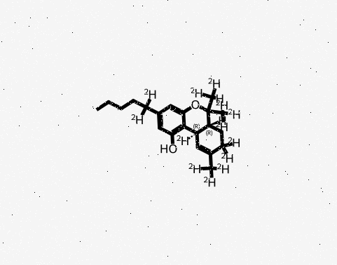 [2H]C([2H])([2H])C1=C[C@@]2([2H])c3c(O)cc(C([2H])([2H])CCCC)cc3OC(C([2H])([2H])[2H])(C([2H])([2H])[2H])[C@@H]2CC1([2H])[2H]